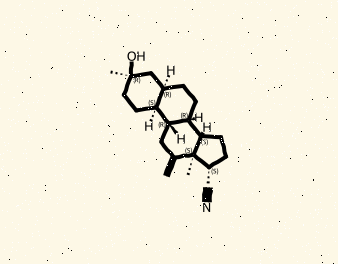 C=C1C[C@H]2[C@@H](CC[C@@H]3C[C@](C)(O)CC[C@@H]32)[C@@H]2CC[C@H](C#N)[C@@]12C